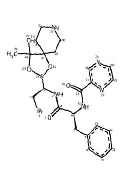 CC(C)C[C@H](NC(=O)[C@H](Cc1ccccc1)NC(=O)c1cnccn1)B1OC(C)(C)C2(CCNCC2)O1